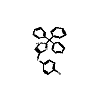 Brc1ccc(Oc2c[nH]c(C(c3ccccc3)(c3ccccc3)c3ccccc3)n2)cc1